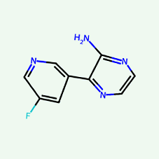 Nc1nccnc1-c1cncc(F)c1